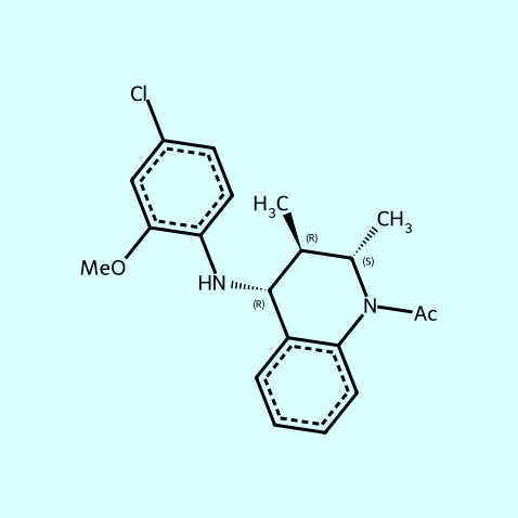 COc1cc(Cl)ccc1N[C@H]1c2ccccc2N(C(C)=O)[C@@H](C)[C@@H]1C